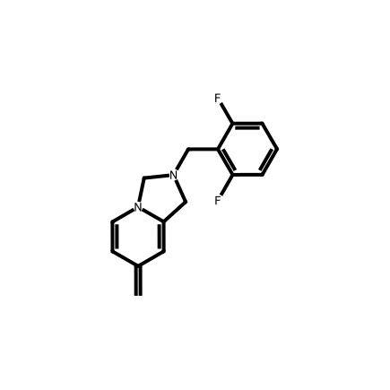 C=C1C=CN2CN(Cc3c(F)cccc3F)CC2=C1